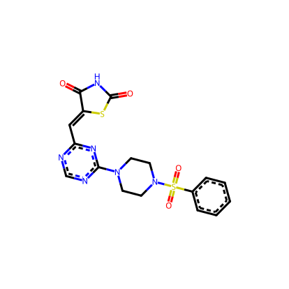 O=C1NC(=O)C(=Cc2ncnc(N3CCN(S(=O)(=O)c4ccccc4)CC3)n2)S1